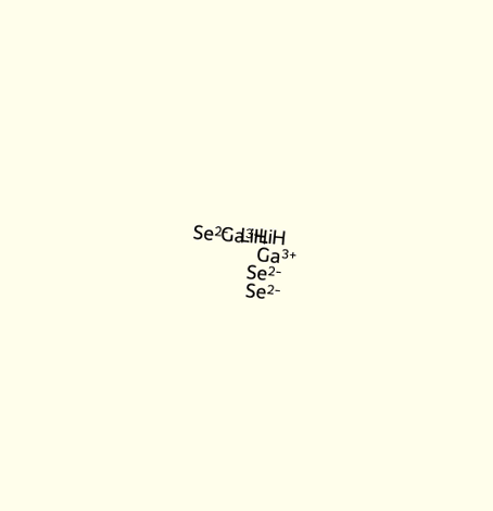 [Ga+3].[Ga+3].[LiH].[LiH].[Se-2].[Se-2].[Se-2]